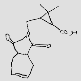 CC1(C)C(CN2C(=O)C3CC=CCC3C2=O)C1C(=O)O